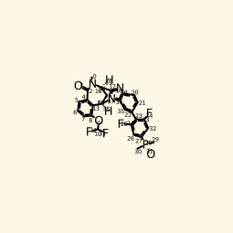 CN1C(=O)c2cccc(OC(F)F)c2[C@H]2C[C@@H]1c1nc3ccc(-c4c(F)cc(P(C)(C)=O)cc4F)cc3n12